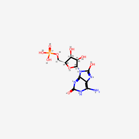 Nc1[nH]c(=O)nc2c1nc(O)n2[C@@H]1O[C@H](COP(=O)(O)O)[C@@H](O)[C@H]1O